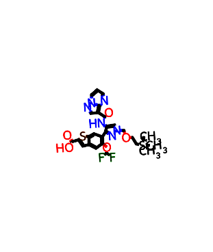 C[Si](C)(C)CCOCn1cc(NC(=O)c2cnn3cccnc23)c(-c2cc3sc(C(=O)O)cc3cc2OC(F)F)n1